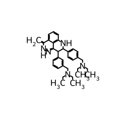 C=C1NN=C2c3c(cccc31)NC(c1ccc(CN(CC)CC)cc1)C2c1cccc(CN(CC)CC)c1